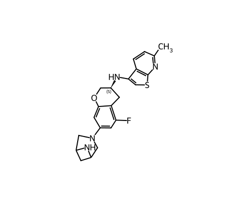 Cc1ccc2c(N[C@@H]3COc4cc(N5CC6CC(C5)N6)cc(F)c4C3)csc2n1